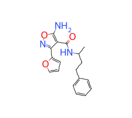 CC(CCc1ccccc1)NC(=O)c1c(-c2ccco2)noc1N